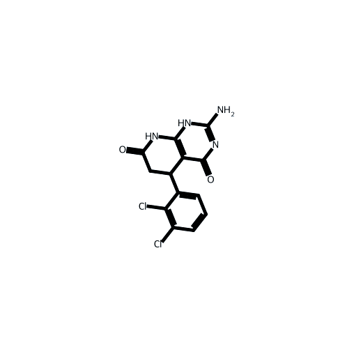 Nc1nc(=O)c2c([nH]1)NC(=O)CC2c1cccc(Cl)c1Cl